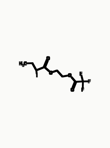 CCC(I)C(=O)OCCOC(=O)C(F)(F)F